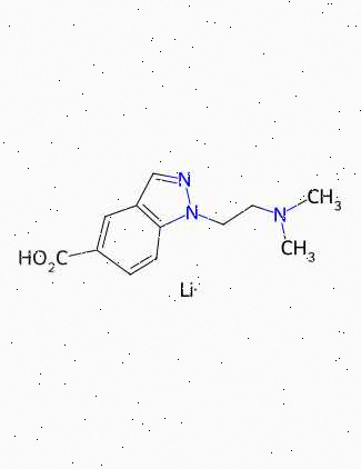 CN(C)CCn1ncc2cc(C(=O)O)ccc21.[Li]